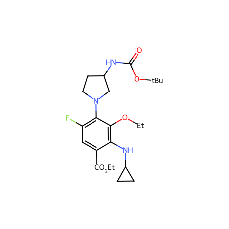 CCOC(=O)c1cc(F)c(N2CCC(NC(=O)OC(C)(C)C)C2)c(OCC)c1NC1CC1